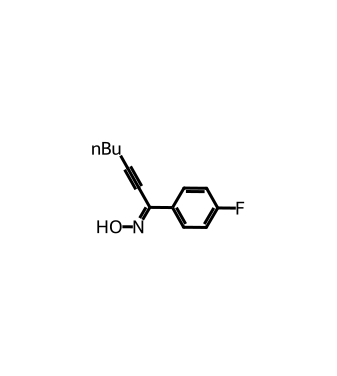 CCCCC#C/C(=N\O)c1ccc(F)cc1